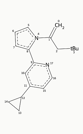 C=C(CC(C)(C)C)n1cccc1-c1cc(C2CC2)ccn1